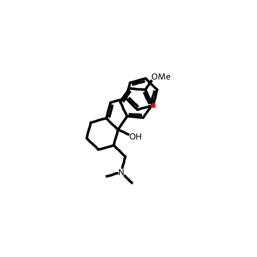 COc1ccc(C2(O)/C(=C\c3ccccc3)CCCC2CN(C)C)cc1